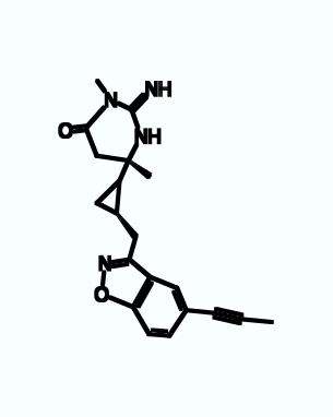 CC#Cc1ccc2onc(C[C@H]3CC3[C@]3(C)CC(=O)N(C)C(=N)N3)c2c1